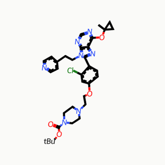 CC(C)(C)OC(=O)N1CCN(CCOc2ccc(-c3nc4c(OC5(C)CC5)ncnc4n3CCc3ccncc3)c(Cl)c2)CC1